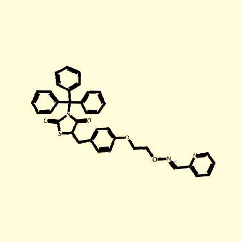 O=C1SC(Cc2ccc(OCCO/N=C/c3ccccn3)cc2)C(=O)N1C(c1ccccc1)(c1ccccc1)c1ccccc1